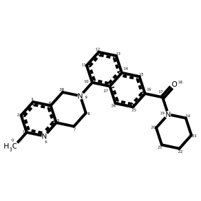 Cc1ccc2c(n1)CCN(c1cccc3cc(C(=O)N4CCCCC4)ccc13)C2